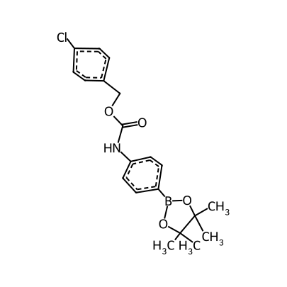 CC1(C)OB(c2ccc(NC(=O)OCc3ccc(Cl)cc3)cc2)OC1(C)C